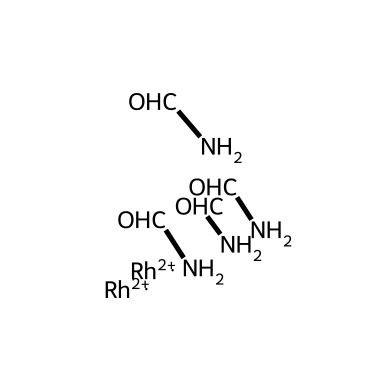 N[C-]=O.N[C-]=O.N[C-]=O.N[C-]=O.[Rh+2].[Rh+2]